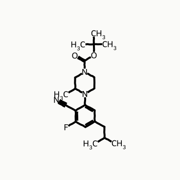 CC(C)Cc1cc(F)c(C#N)c(N2CCN(C(=O)OC(C)(C)C)CC2C)c1